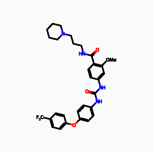 COc1cc(NC(=O)Nc2ccc(Oc3ccc(C(F)(F)F)cc3)cc2)ccc1C(=O)NCCCN1CCCCC1